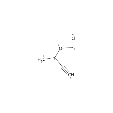 C#CC(C)OCCl